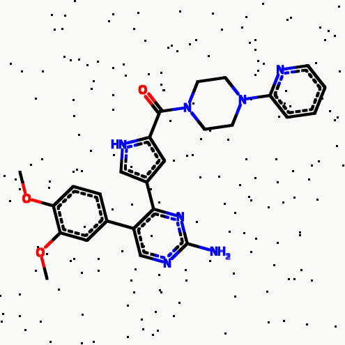 COc1ccc(-c2cnc(N)nc2-c2c[nH]c(C(=O)N3CCN(c4ccccn4)CC3)c2)cc1OC